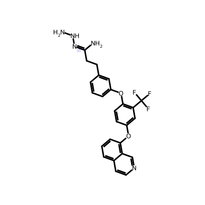 NN/N=C(\N)CCc1cccc(Oc2ccc(Oc3cccc4ccncc34)cc2C(F)(F)F)c1